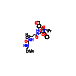 COCCNCC(=O)NC(C)CCCC(=O)NCCC(O)(Cc1ccccc1)N(CC(C)C)S(=O)(=O)c1ccc2occc2c1